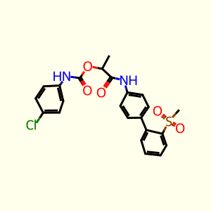 CC(OC(=O)Nc1ccc(Cl)cc1)C(=O)Nc1ccc(-c2ccccc2S(C)(=O)=O)cc1